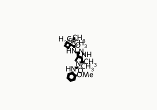 COc1ccccc1NC(=O)N1Cc2c(NC(=O)C3([Si](C)(C)C)CCC3)n[nH]c2C1(C)C